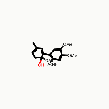 COc1cc(NC(C)=O)c(C2=CC(C)=CCC2(O)OC)cc1OC